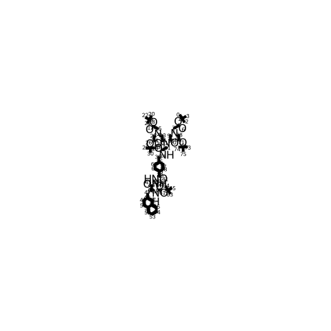 CC(C)(C)OC(=O)CN(CCN(CCN(CC(=O)OC(C)(C)C)CC(=O)OC(C)(C)C)CC(=O)NCc1ccc(C(=O)NNC(=O)[C@@H](Cc2ccc3ccccc3c2)NC(=O)OC(C)(C)C)cc1)CC(=O)OC(C)(C)C